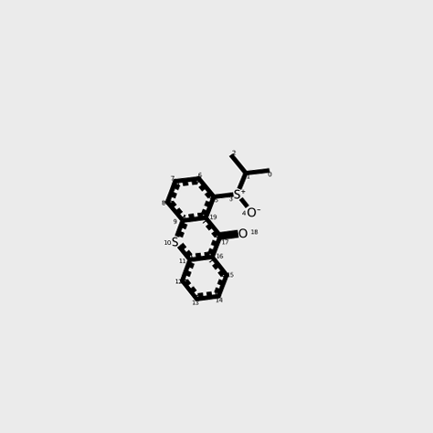 CC(C)[S+]([O-])c1cccc2sc3ccccc3c(=O)c12